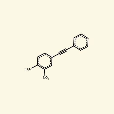 Nc1ccc(C#Cc2ccccc2)cc1[N+](=O)[O-]